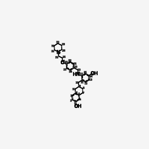 Oc1ccc2c(c1)CCC(Cc1ccc(O)cc1NCc1ccc(OCCN3CCCCC3)cc1)C2